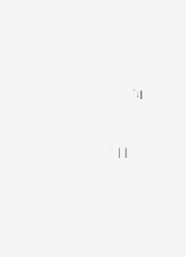 CCC(O)[SiH3]